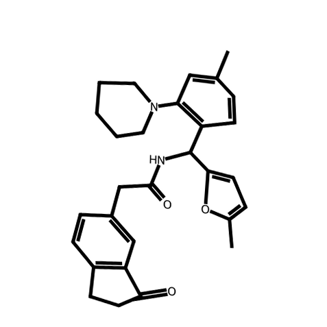 Cc1ccc(C(NC(=O)Cc2ccc3c(c2)C(=O)CC3)c2ccc(C)o2)c(N2CCCCC2)c1